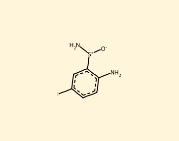 Nc1ccc(I)cc1[S+](N)[O-]